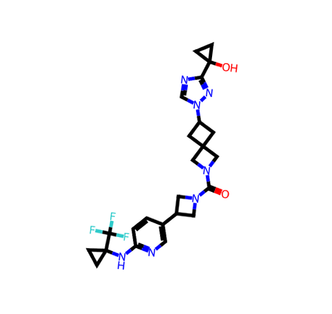 O=C(N1CC(c2ccc(NC3(C(F)(F)F)CC3)nc2)C1)N1CC2(CC(n3cnc(C4(O)CC4)n3)C2)C1